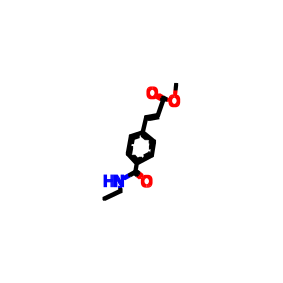 CCNC(=O)c1ccc(C=CC(=O)OC)cc1